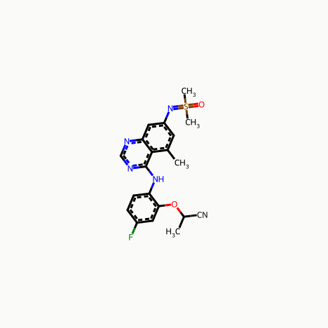 Cc1cc(N=S(C)(C)=O)cc2ncnc(Nc3ccc(F)cc3OC(C)C#N)c12